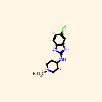 CCOC(=O)N1CCC(Nc2nc3cc(Cl)ccc3[nH]2)CC1